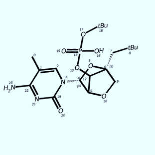 Cc1cn([C@@H]2O[C@@]3(CC(C)(C)C)COC2C3OP(=O)(O)OC(C)(C)C)c(=O)nc1N